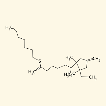 C=C1CC(C)(CC)C(C)(C(C)CCCCC(=C)SCCCCCCC)C1